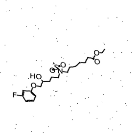 CCOC(=O)CCCCCCN(CCCC(O)COc1cccc(F)c1)S(C)(=O)=O